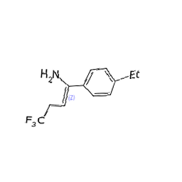 CCc1ccc(/C(N)=C/CC(F)(F)F)cc1